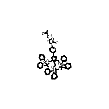 CC(=O)NC[C@H]1CN(c2ccc(C3=CC4(CO[Si](c5ccccc5)(c5ccccc5)C(C)(C)C)C(CO[Si](c5ccccc5)(c5ccccc5)C(C)(C)C)C4(CO[Si](c4ccccc4)(c4ccccc4)C(C)(C)C)C3)cn2)C(=O)O1